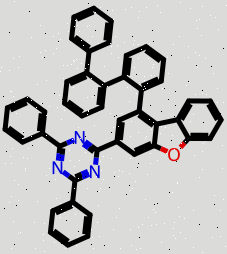 c1ccc(-c2nc(-c3ccccc3)nc(-c3cc(-c4ccccc4-c4ccccc4-c4ccccc4)c4c(c3)oc3ccccc34)n2)cc1